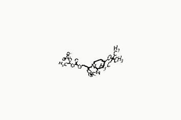 CC(OC(=O)OCC(=O)N1CCC(OC(C)(C)C)CC1N=C=O)O[N+](=O)[O-]